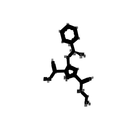 CNC(=O)c1[nH]c(C(=O)NCC(F)(F)F)cc1O[C@@H](C)c1ccccc1